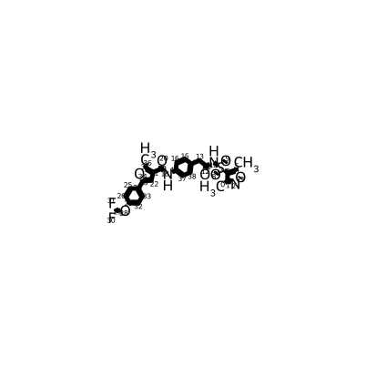 Cc1noc(C)c1S(=O)(=O)NC(=O)Cc1ccc(NC(=O)c2cc(-c3ccc(OC(F)F)cc3)oc2C)cc1